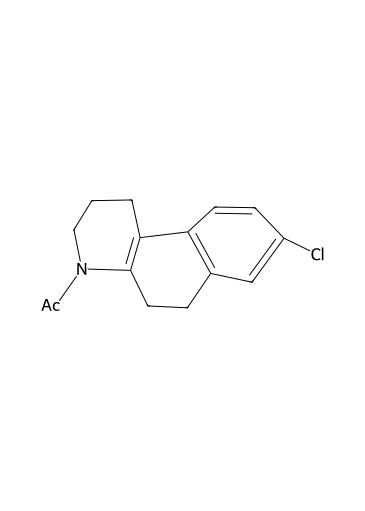 CC(=O)N1CCCC2=C1CCc1cc(Cl)ccc12